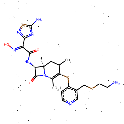 CC1C[C@@H]2[C@H](NC(=O)C(=NO)c3nsc(N)n3)C(=O)N2C(C(=O)O)=C1Sc1ccncc1CSCCN